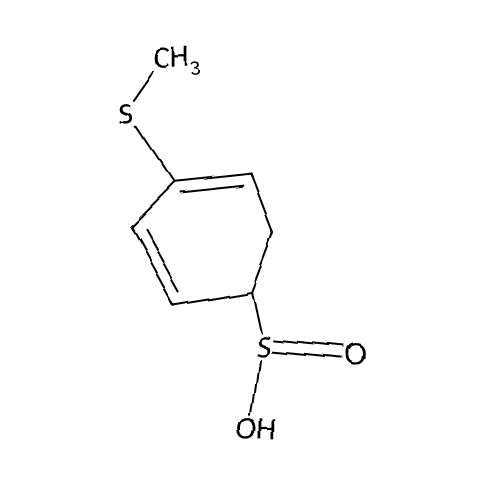 CSC1=CCC(S(=O)O)C=C1